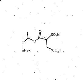 CCCCCCOC(C)OC(=O)C(CC(=O)O)S(=O)(=O)O